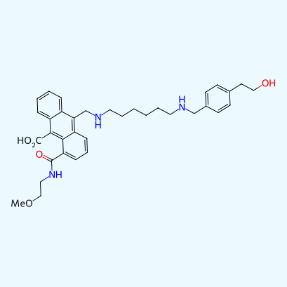 COCCNC(=O)c1cccc2c(CNCCCCCCNCc3ccc(CCO)cc3)c3ccccc3c(C(=O)O)c12